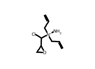 C=CC[N+](N)(CC=C)C(Cl)C1CO1